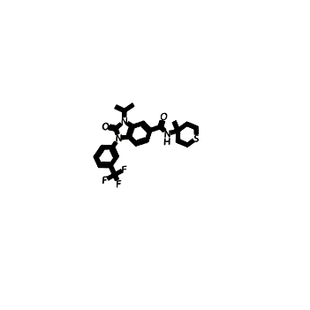 CC(C)n1c(=O)n(-c2cccc(C(F)(F)F)c2)c2ccc(C(=O)NC3(C)CCSCC3)cc21